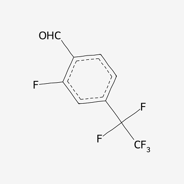 O=Cc1ccc(C(F)(F)C(F)(F)F)cc1F